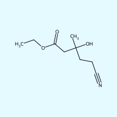 CCOC(=O)CC(C)(O)CCC#N